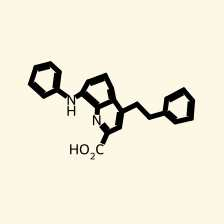 O=C(O)c1cc(CCc2ccccc2)c2cccc(Nc3ccccc3)c2n1